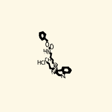 CCCCc1nc2cnc3ccccc3c2n1OCCCCNC(=O)OCc1ccccc1.Cl